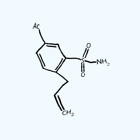 C=CCc1ccc(C(C)=O)cc1S(N)(=O)=O